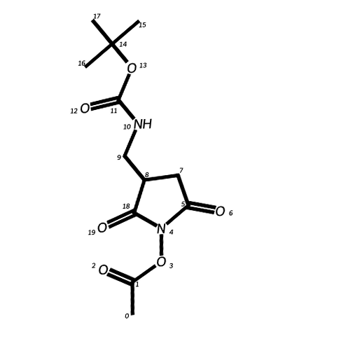 CC(=O)ON1C(=O)CC(CNC(=O)OC(C)(C)C)C1=O